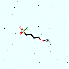 COCCCCS(=O)(=O)Cl